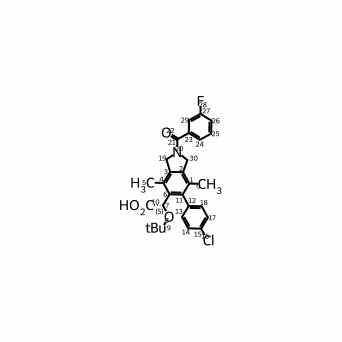 Cc1c2c(c(C)c([C@H](OC(C)(C)C)C(=O)O)c1-c1ccc(Cl)cc1)CN(C(=O)c1cccc(F)c1)C2